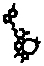 CCc1c2c(nn1C)COCC(F)(F)CCn1c(C(=O)O)c(CCCOc3cccc4cc(F)ccc34)c3ccc(Cl)c-2c31